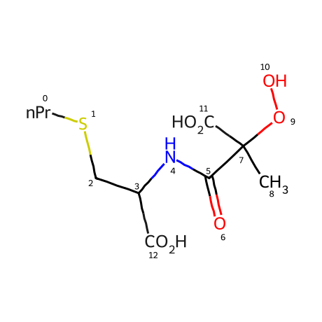 CCCSCC(NC(=O)C(C)(OO)C(=O)O)C(=O)O